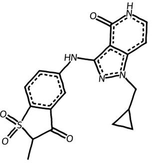 CC1C(=O)c2cc(Nc3nn(CC4CC4)c4cc[nH]c(=O)c34)ccc2S1(=O)=O